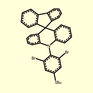 CC(C)(C)c1cc(Br)c(N2c3ccccc3C3(c4ccccc4-c4ccccc43)c3ccccc32)c(Br)c1